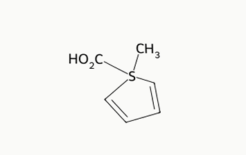 CS1(C(=O)O)C=CC=C1